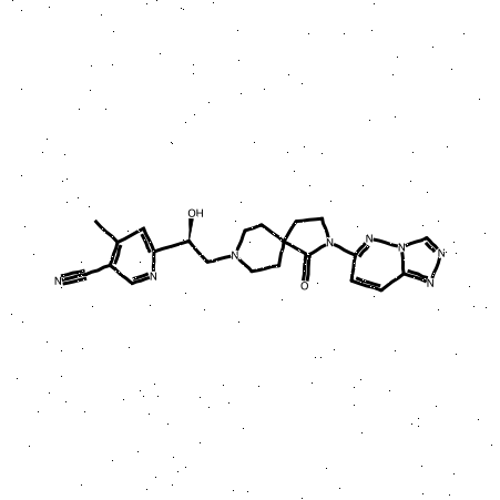 Cc1cc([C@@H](O)CN2CCC3(CC2)CCN(c2ccc4nncn4n2)C3=O)ncc1C#N